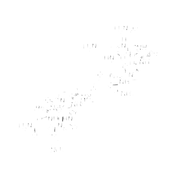 CC[C@@H](C)[C@@H](NC(=O)[C@@H]1CCCN1C(=O)[C@@H](NC(=O)[C@@H](C)N)C(C)C)C(=O)N[C@@H](CCC(N)=O)C(=O)N[C@@H](CCCCN)C(=O)NCCCOCCOCCOCCCNC(=O)[C@H](CCCCN)NC(=O)[C@H](CCC(N)=O)NC(=O)[C@H](NC(=O)[C@@H]1CCCN1C(=O)[C@@H](NC(=O)[C@@H](C)N)C(C)C)[C@H](C)CC